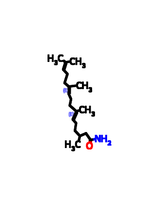 CC(C)=CCC/C(C)=C/CC/C(C)=C/CCC(C)CC(N)=O